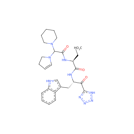 O=C(O)C[C@H](NC(=O)C(N1C=CCC1)N1CCCCC1)C(=O)N[C@@H](Cc1c[nH]c2ccccc12)C(=O)c1nnn[nH]1